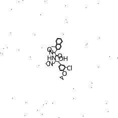 O=C(NC(CN1CCC1)C(O)c1ccc(OC2CC2)c(Cl)c1)C1=NOCc2c1ccc1ccccc21